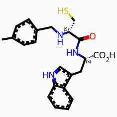 Cc1ccc(CN[C@H](CS)C(=O)N[C@@H](Cc2c[nH]c3ccccc23)C(=O)O)cc1